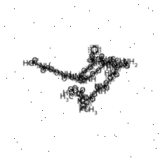 CC[C@@]1(O)C(=O)OCc2c1cc1n(c2=O)Cc2c-1nc1cc(F)c(C)c3c1c2[C@@H](NC(=O)COCNC(=O)CNC(=O)OCc1ccc(NC(=O)[C@H](CCCNC(N)=O)NC(=O)[C@@H](NC(=O)[C@H](CCC(=O)O)NC(=O)CCOCCOCCNC(=O)CCOCC(COCCC(=O)NCCOCCOCCC(=O)NCCCC(=O)O)NC(=O)CCOCCOCCNC(=O)COC2C#CCCCCC2)C(C)C)cc1)CC3